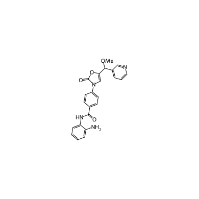 COC(c1cccnc1)c1cn(-c2ccc(C(=O)Nc3ccccc3N)cc2)c(=O)o1